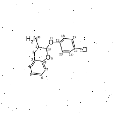 NC1Cc2ccccc2OC1Oc1ccc(Cl)cc1